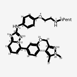 CCCCCNCCOc1ccc(Nc2nc3cccc(-c4cccc(OCc5cc(C)n(C)n5)c4)n3n2)cc1